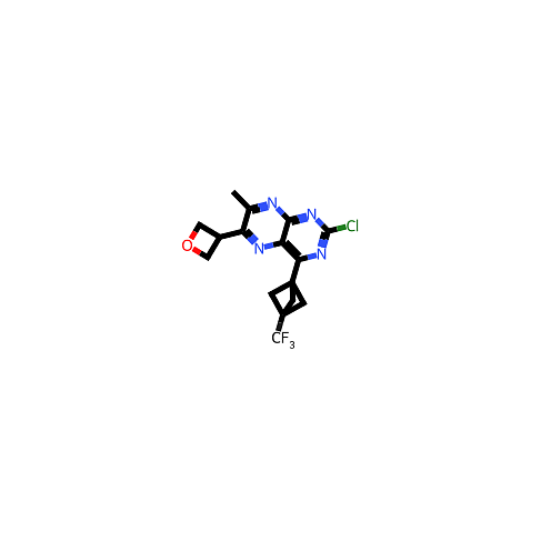 Cc1nc2nc(Cl)nc(C34CC(C(F)(F)F)(C3)C4)c2nc1C1COC1